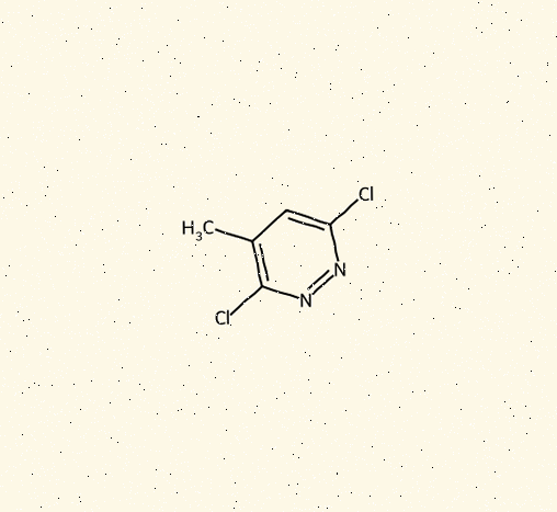 Cc1cc(Cl)nnc1Cl